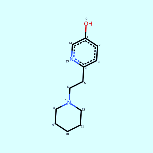 Oc1ccc(CCN2CCCCC2)nc1